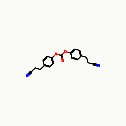 N#CCCc1ccc(OC(=O)Oc2ccc(CCC#N)cc2)cc1